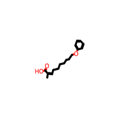 CC(=CCCCCCCCOc1ccccc1)C(=O)O